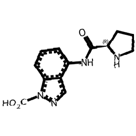 O=C(Nc1cccc2c1cnn2C(=O)O)[C@H]1CCCN1